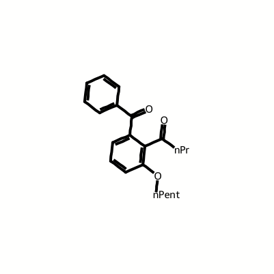 CCCCCOc1cccc(C(=O)c2ccccc2)c1C(=O)CCC